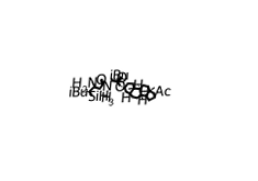 CCC(C)[C@H](NC(=O)C[C@H](N)C([SiH3])[C@H](C)CC)C(=O)O[C@@H]1CC[C@@]2(C)[C@@H](CC[C@@H]3[C@@H]2CC[C@]2(C)[C@@H](C(C)=O)CC[C@@H]32)C1